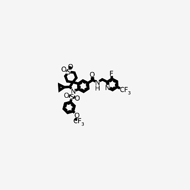 O=C(NCc1ncc(C(F)(F)F)cc1F)c1ccc2c(c1)C1(CCS(=O)(=O)CC1)C(C1CC1)N2S(=O)(=O)c1cccc(OC(F)(F)F)c1